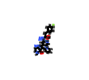 Cn1ccc2[nH]c(-c3ccnc(NC(=O)Cc4ccc(F)cc4)c3)c(-c3ccccn3)c2c1=O